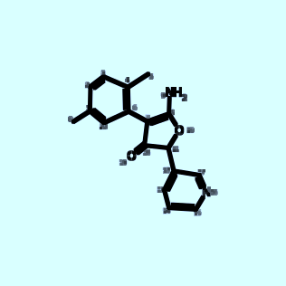 Cc1ccc(C)c(C2=C(N)OC(c3cccnc3)C2=O)c1